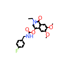 CCn1cc(OC(=O)NCc2ccc(F)cc2)c2cc(OC)c(OC)cc2c1=O